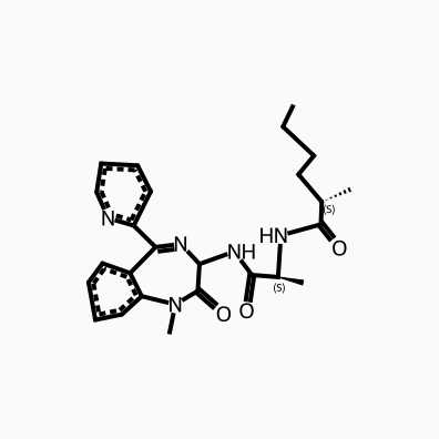 CCCC[C@H](C)C(=O)N[C@@H](C)C(=O)NC1N=C(c2ccccn2)c2ccccc2N(C)C1=O